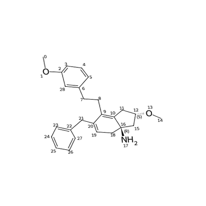 COc1cccc(CCC2=C3C[C@H](OC)C[C@]3(N)CC=C2Cc2ccccc2)c1